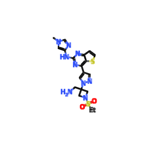 CCS(=O)(=O)N1CC(CN)(n2cc(-c3nc(Nc4cn(C)cn4)nc4ccsc34)cn2)C1